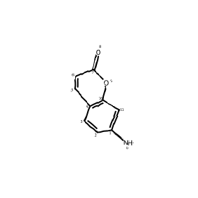 [NH]c1ccc2ccc(=O)oc2c1